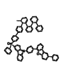 CC1C=CC=C(c2ccccc2-c2ccccc2-c2ccccc2)C1c1ccc(-c2ccc(P(=O)(c3ccccc3)c3ccc4c(c3)c3ccccc3n4-c3ccc(-c4cccc5c4oc4ccc(-c6ccccc6)cc45)cc3)cc2)cc1